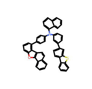 c1cc(-c2ccc3c(c2)sc2ccccc23)cc(N(c2ccc(-c3cccc4oc5c6ccccc6ccc5c34)cc2)c2cccc3ccccc23)c1